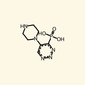 O=P(O)(O)c1nnncc1N1CCNCC1